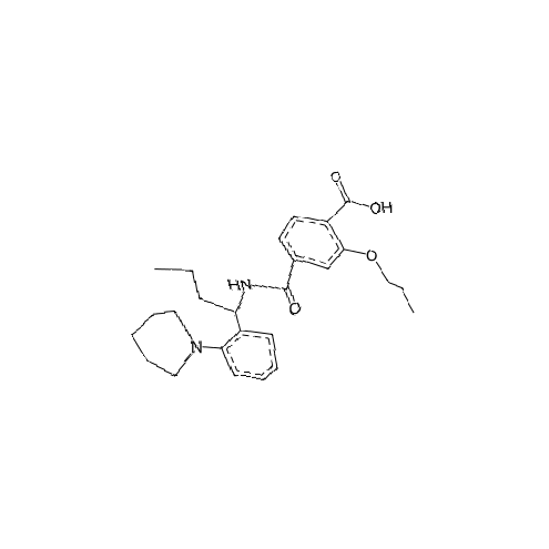 CCCOc1cc(C(=O)NC(CCC)c2ccccc2N2CCCCC2)ccc1C(=O)O